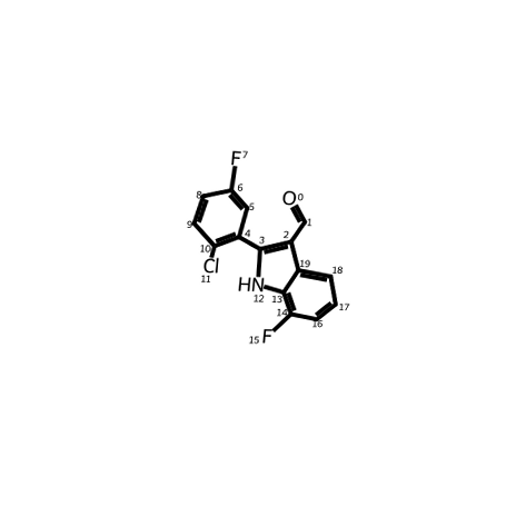 O=Cc1c(-c2cc(F)ccc2Cl)[nH]c2c(F)cccc12